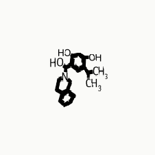 CC(C)c1cc(C(O)N2CCc3ccccc3C2)c(O)cc1O